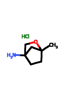 CC12CCC(N)(CO1)C2.Cl